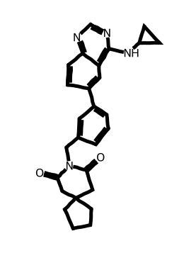 O=C1CC2(CCCC2)CC(=O)N1Cc1cccc(-c2ccc3ncnc(NC4CC4)c3c2)c1